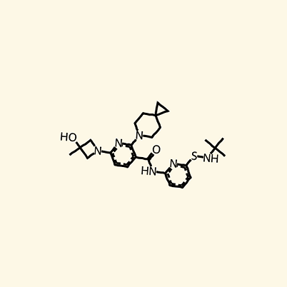 CC1(O)CN(c2ccc(C(=O)Nc3cccc(SNC(C)(C)C)n3)c(N3CCC4(CC3)CC4)n2)C1